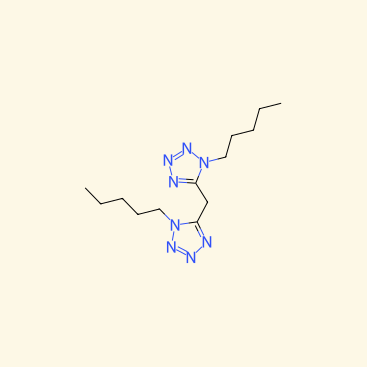 CCCCCn1nnnc1Cc1nnnn1CCCCC